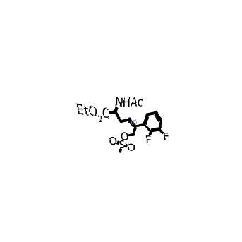 CCOC(=O)C(C/C=C(\COS(C)(=O)=O)c1cccc(F)c1F)NC(C)=O